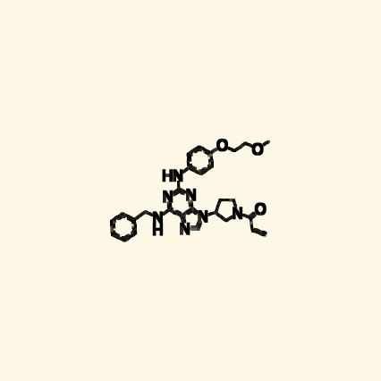 C=CC(=O)N1CCC(n2cnc3c(NCc4ccccc4)nc(Nc4ccc(OCCOC)cc4)nc32)C1